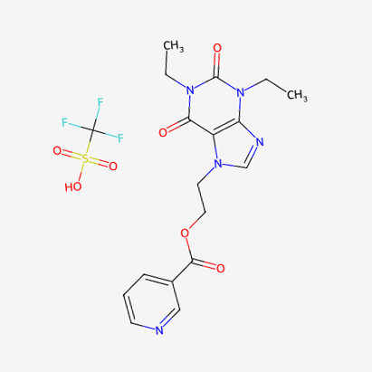 CCn1c(=O)c2c(ncn2CCOC(=O)c2cccnc2)n(CC)c1=O.O=S(=O)(O)C(F)(F)F